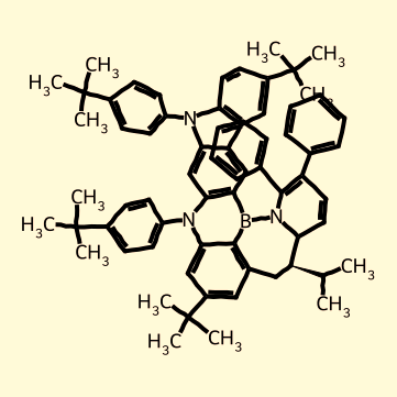 CC(C)[C@H]1Cc2cc(C(C)(C)C)cc3c2B(c2cc4c5cc(C(C)(C)C)ccc5n(-c5ccc(C(C)(C)C)cc5)c4cc2N3c2ccc(C(C)(C)C)cc2)N2C(c3ccccc3)=C(c3ccccc3)C=CC12